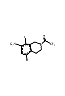 O=C(N1CCc2c(Br)cc([N+](=O)[O-])c(F)c2C1)C(F)(F)F